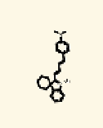 CC[N+]1=C(/C=C/C=C/c2ccc(N(C)C)cc2)C2(CCCCC2)c2ccccc21